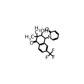 CC1(C)C(=O)c2ccc(C(F)(F)F)cc2C(n2ccccc2=O)C1O